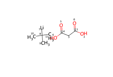 O=C(O)CC(=O)O.[Li][C](C)(C)C